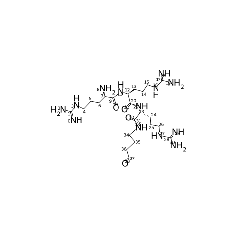 N=C(N)NCCC[C@@H](N)C(=O)N[C@@H](CCCNC(=N)N)C(=O)N[C@H](CCCNC(=N)N)C(=O)NCCCC=O